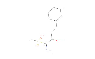 CC(C)S(=O)(=O)C(N)C(O)CCC1CCCCC1